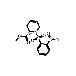 COC(=O)[C@@H]1CC=CCN1S(=O)(=O)c1ccccc1[N+](=O)[O-]